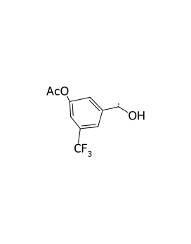 CC(=O)Oc1cc([CH]O)cc(C(F)(F)F)c1